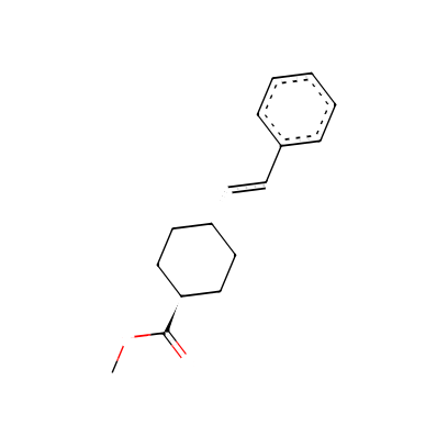 COC(=O)[C@H]1CC[C@H](C=Cc2ccccc2)CC1